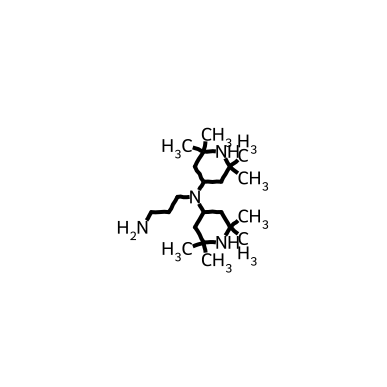 CC1(C)CC(N(CCCN)C2CC(C)(C)NC(C)(C)C2)CC(C)(C)N1